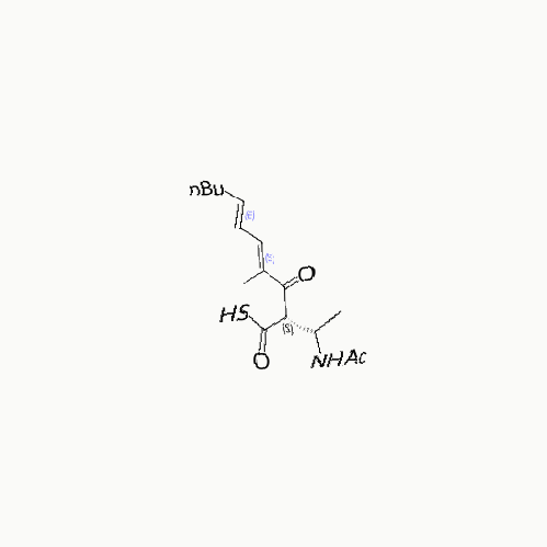 CCCC/C=C/C=C(\C)C(=O)[C@@H](C(=O)S)C(C)NC(C)=O